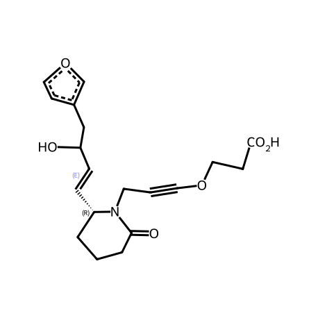 O=C(O)CCOC#CCN1C(=O)CCC[C@@H]1/C=C/C(O)Cc1ccoc1